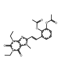 CCn1c(=O)c2c(nc(C=Cc3cccc(OC(C)=O)c3OC(C)=O)n2C)n(CC)c1=O